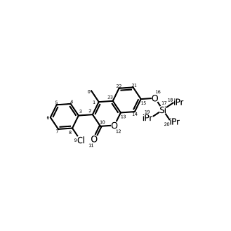 Cc1c(-c2ccccc2Cl)c(=O)oc2cc(O[Si](C(C)C)(C(C)C)C(C)C)ccc12